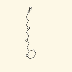 N#CCCCOCCOCCC1CCCCO1